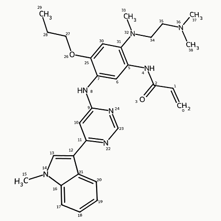 C=CC(=O)Nc1cc(Nc2cc(-c3cn(C)c4ccccc34)ncn2)c(OCCC)cc1N(C)CCN(C)C